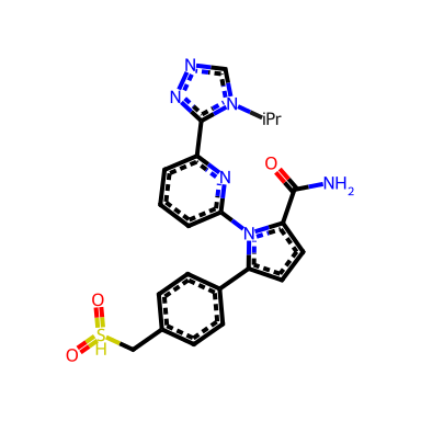 CC(C)n1cnnc1-c1cccc(-n2c(C(N)=O)ccc2-c2ccc(C[SH](=O)=O)cc2)n1